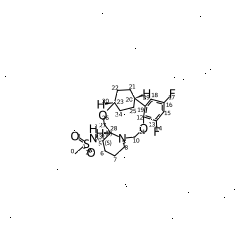 CS(=O)(=O)N[C@H]1CCCN2COc3c(F)cc(F)cc3[C@H]3CC[C@H](CC3)OC[C@@H]12